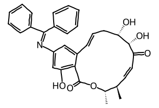 C[C@@H]1/C=C\C(=O)[C@@H](O)[C@@H](O)C/C=C/c2cc(N=C(c3ccccc3)c3ccccc3)cc(O)c2C(=O)O[C@H]1C